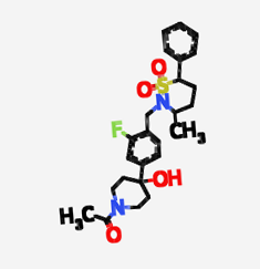 CC(=O)N1CCC(O)(c2ccc(CN3C(C)CCC(c4ccccc4)S3(=O)=O)c(F)c2)CC1